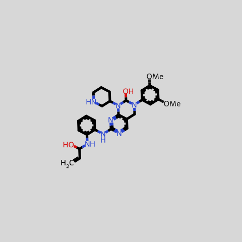 C=CC(O)Nc1ccccc1Nc1ncc2c(n1)N(C1CCCNC1)C(O)N(c1cc(OC)cc(OC)c1)C2